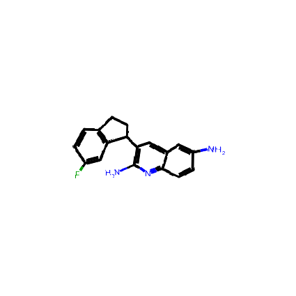 Nc1ccc2nc(N)c(C3CCc4ccc(F)cc43)cc2c1